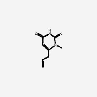 C=CCc1cc(=O)[nH]c(=S)n1C